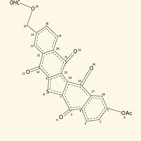 CC(=O)Oc1ccc2c(=O)c3sc4c(=O)c5cc(COC=O)ccc5c(=O)c4c3c(=O)c2c1